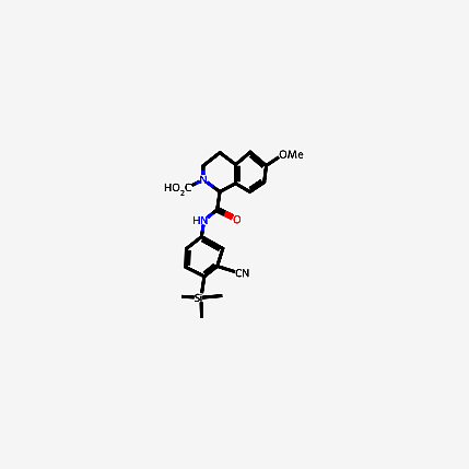 COc1ccc2c(c1)CCN(C(=O)O)C2C(=O)Nc1ccc([Si](C)(C)C)c(C#N)c1